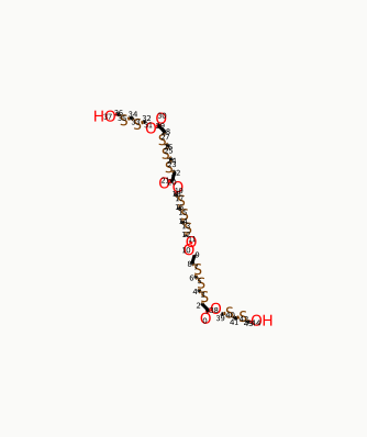 O=C(CSCSCSCCOOCSCSCSCOC(=O)CSCSCSCC(=O)OCSCSCO)OCSCSCO